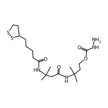 CC(C)(CCOC(=O)NN)NC(=O)CC(C)(C)NC(=O)CCCCC1CCSS1